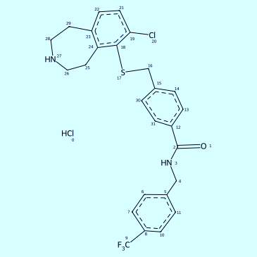 Cl.O=C(NCc1ccc(C(F)(F)F)cc1)c1ccc(CSc2c(Cl)ccc3c2CCNCC3)cc1